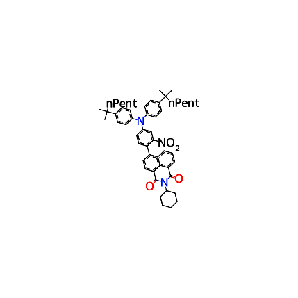 CCCCCC(C)(C)c1ccc(N(c2ccc(C(C)(C)CCCCC)cc2)c2ccc(-c3ccc4c5c(cccc35)C(=O)N(C3CCCCC3)C4=O)c([N+](=O)[O-])c2)cc1